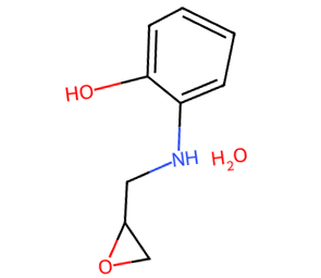 O.Oc1ccccc1NCC1CO1